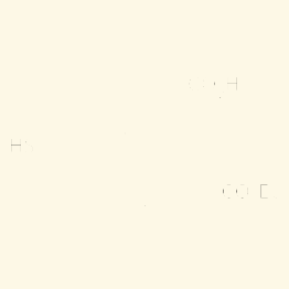 CCOC(=O)C1C2CC(S)C(C2)C1C(=O)O